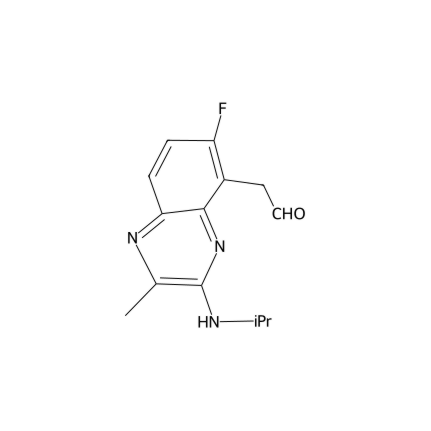 Cc1nc2ccc(F)c(CC=O)c2nc1NC(C)C